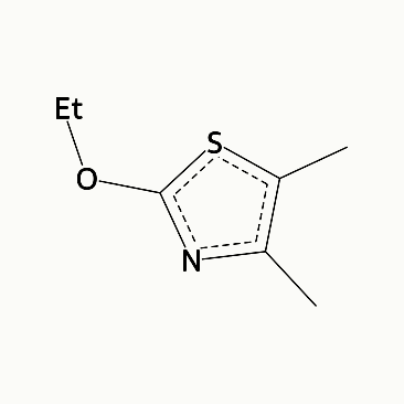 CCOc1nc(C)c(C)s1